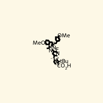 COc1ccc(CN(Cc2ccc(OC)cc2)c2nc(C)nc(-c3cc([C@@H](C)N4CCN(C(=O)O)C(C(C)(C)C)[C@@H]4C)cnc3F)n2)cc1